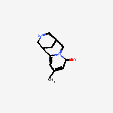 Cc1cc2n(c(=O)c1)CC1CNCC2C1